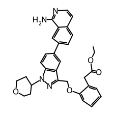 CCOC(=O)Cc1ccccc1OCc1nn(C2CCOCC2)c2ccc(-c3ccc4ccnc(N)c4c3)cc12